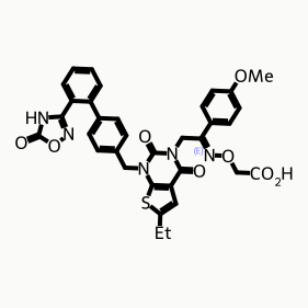 CCc1cc2c(=O)n(C/C(=N/OCC(=O)O)c3ccc(OC)cc3)c(=O)n(Cc3ccc(-c4ccccc4-c4noc(=O)[nH]4)cc3)c2s1